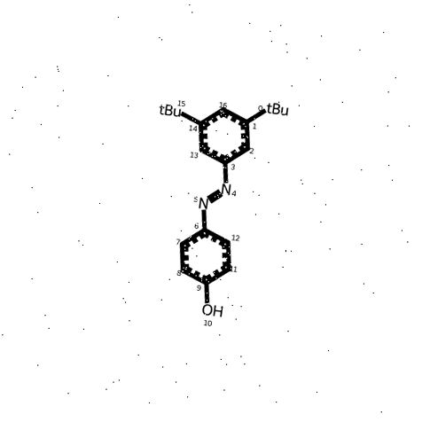 CC(C)(C)c1cc(N=Nc2ccc(O)cc2)cc(C(C)(C)C)c1